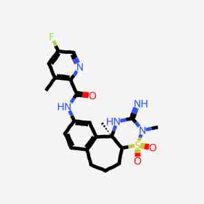 Cc1cc(F)cnc1C(=O)Nc1ccc2c(c1)[C@@]1(C)NC(=N)N(C)S(=O)(=O)C1CCC2